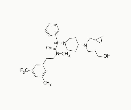 CN(CCc1cc(C(F)(F)F)cc(C(F)(F)F)c1)C(=O)[C@H](c1ccccc1)N1CCC(N(CCCO)CC2CC2)CC1